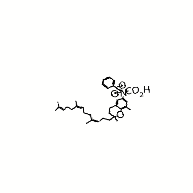 CC(C)=CCCC(C)=CCCC(C)=CCCC1(C)CCc2cc(N(C(=O)O)S(=O)(=O)c3ccccc3)cc(C)c2O1